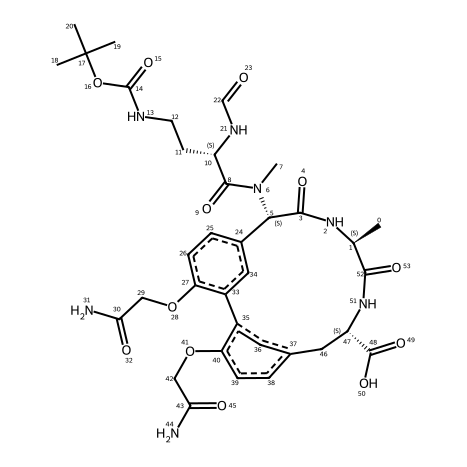 C[C@@H]1NC(=O)[C@@H](N(C)C(=O)[C@H](CCNC(=O)OC(C)(C)C)NC=O)c2ccc(OCC(N)=O)c(c2)-c2cc(ccc2OCC(N)=O)C[C@@H](C(=O)O)NC1=O